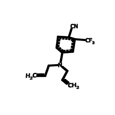 C=CCN(CC=C)c1ccc(C#N)c(C(F)(F)F)c1